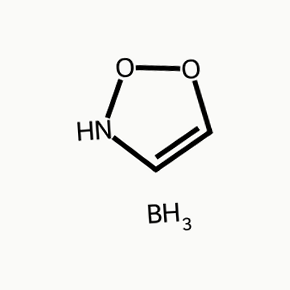 B.C1=COON1